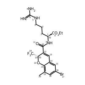 CCOC(=O)[C@H](CCCNC(=N)N)NC(=O)C1=Cc2cc(Br)cc(C)c2O[C@@H]1C(F)(F)F